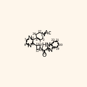 CC(=O)N1CC=C(c2nccnc2C2CN(C(=O)c3nc4ccccc4[nH]3)C2)CC1